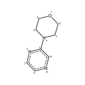 c1cnc(N2CCOCC2)cn1